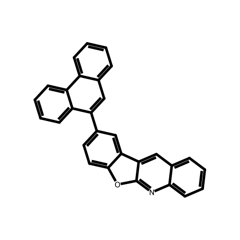 c1ccc2nc3oc4ccc(-c5cc6ccccc6c6ccccc56)cc4c3cc2c1